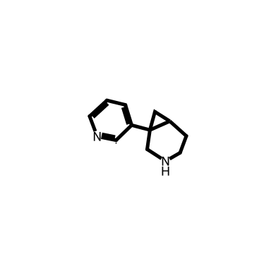 [c]1ncccc1C12CNCCC1C2